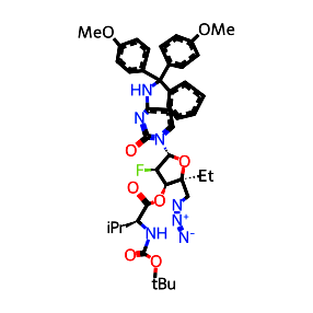 CC[C@@]1(CN=[N+]=[N-])O[C@@H](n2ccc(NC(c3ccccc3)(c3ccc(OC)cc3)c3ccc(OC)cc3)nc2=O)[C@H](F)[C@@H]1OC(=O)[C@@H](NC(=O)OC(C)(C)C)C(C)C